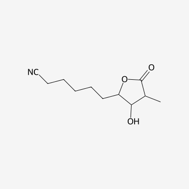 CC1C(=O)OC(CCCCCC#N)C1O